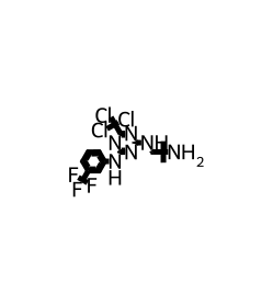 CC(C)(N)CNc1nc(Nc2cccc(C(F)(F)F)c2)nc(C(Cl)(Cl)Cl)n1